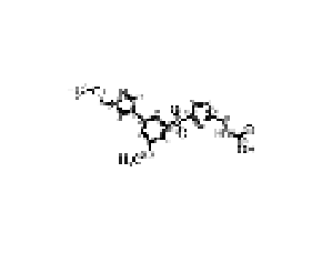 COCn1cc(-c2cc(OC)cc(S(=O)(=O)c3cnc(CNC(=O)O)s3)c2)cn1